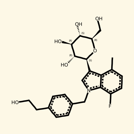 Cc1ccc(F)c2c1c([C@@H]1O[C@H](CO)[C@@H](O)[C@H](O)[C@H]1O)cn2Cc1ccc(CCO)cc1